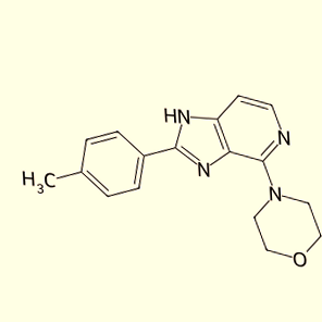 Cc1ccc(-c2nc3c(N4CCOCC4)nccc3[nH]2)cc1